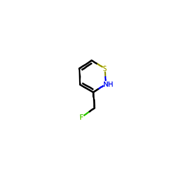 FCC1=CC=CSN1